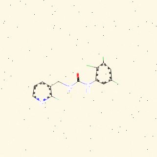 O=C(Nc1cc(Cl)cc(Cl)c1Cl)N(S)Cc1cccnc1F